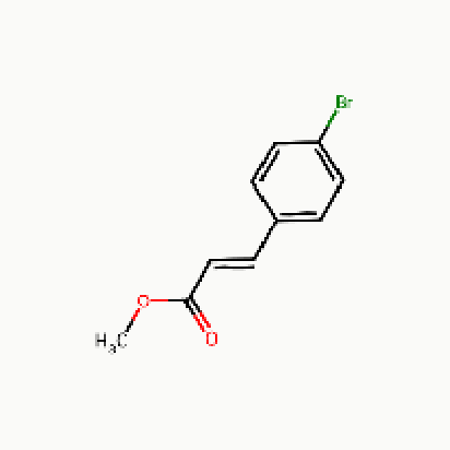 COC(=O)C=Cc1ccc(Br)cc1